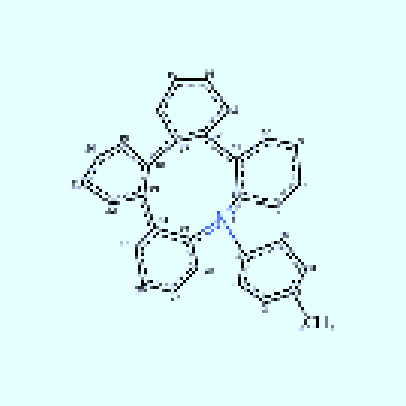 Cc1ccc(-n2c3ccccc3c3ccccc3c3ccccc3c3ccccc32)cc1